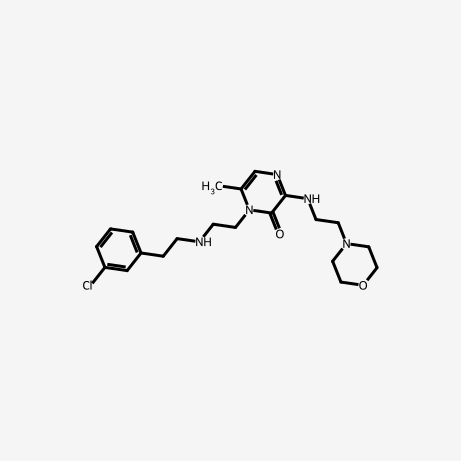 Cc1cnc(NCCN2CCOCC2)c(=O)n1CCNCCc1cccc(Cl)c1